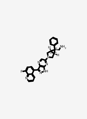 NC[C@@]1(c2ccccc2)[C@@H]2CN(c3cnc4c(-c5ccc(F)c6ncccc56)n[nH]c4n3)C[C@@H]21